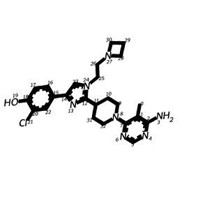 Cc1c(N)ncnc1N1CCC(c2nc(-c3ccc(O)c(Cl)c3)cn2CCN2CCC2)CC1